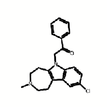 CN1CCc2c(n(CC(=O)c3ccccc3)c3ccc(Cl)cc23)CC1